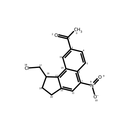 CC(=O)c1ccc2c([N+](=O)[O-])cc3c(c2c1)C(CCl)CC3